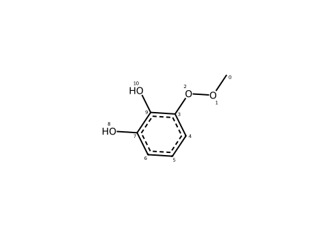 COOc1cccc(O)c1O